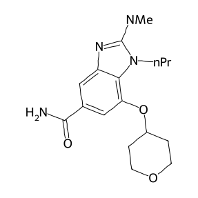 CCCn1c(NC)nc2cc(C(N)=O)cc(OC3CCOCC3)c21